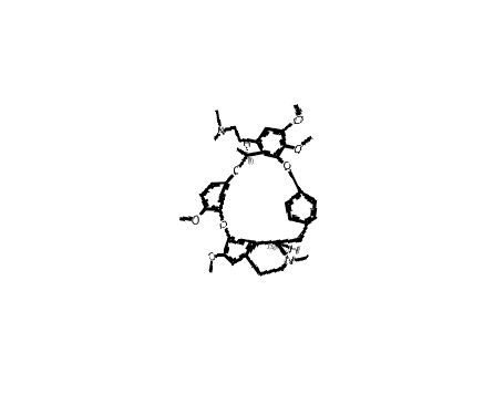 COc1ccc2cc1Oc1cc3c(cc1OC)CCN(C)[C@H]3Cc1ccc(cc1)Oc1c(OC)c(OC)cc(CCN(C)C)c1[C@H](C)C2